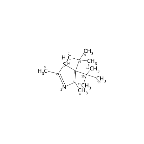 CC1=NC(C)C(C(C)(C)C)(C(C)(C)C)S1